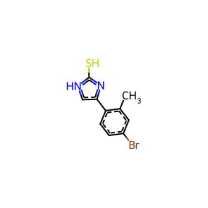 Cc1cc(Br)ccc1-c1c[nH]c(S)n1